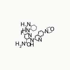 NC(=O)c1cc(F)c(NC2CCCCC2N)nc1Nc1cnc2cc(N3CCOCC3)ccc2c1